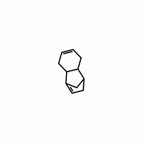 C1=CCC2C3CC=C(C3)C2C1